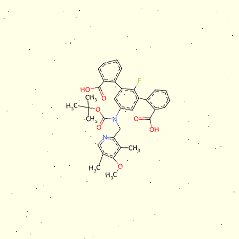 COc1c(C)cnc(CN(C(=O)OC(C)(C)C)c2cc(-c3ccccc3C(=O)O)c(F)c(-c3ccccc3C(=O)O)c2)c1C